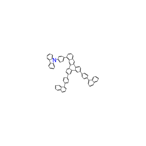 c1ccc2c(-c3ccc(-c4ccc5c(c4)c4cc(-c6ccc(-c7cccc8ccccc78)cc6)ccc4c4cc6c(-c7ccc(-n8c9ccccc9c9ccccc98)cc7)cccc6cc54)cc3)cccc2c1